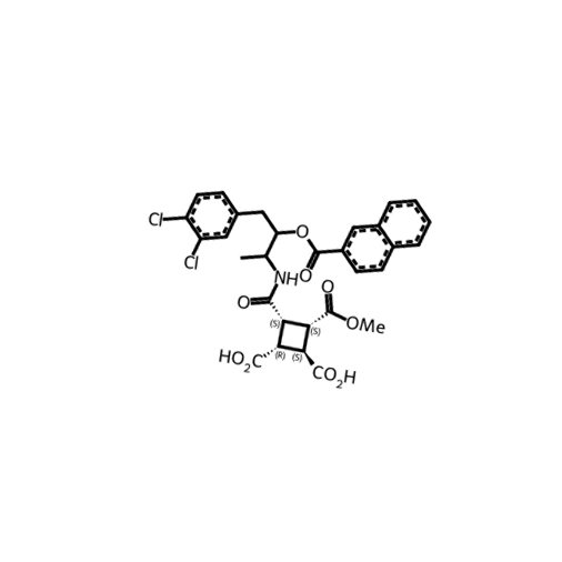 COC(=O)[C@@H]1[C@@H](C(=O)O)[C@H](C(=O)O)[C@@H]1C(=O)NC(C)C(Cc1ccc(Cl)c(Cl)c1)OC(=O)c1ccc2ccccc2c1